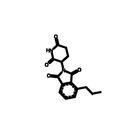 C[CH]Cc1cccc2c1C(=O)N(C1CCC(=O)NC1=O)C2=O